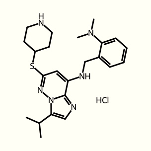 CC(C)c1cnc2c(NCc3ccccc3N(C)C)cc(SC3CCNCC3)nn12.Cl